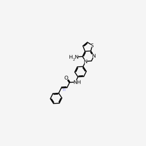 NC1=c2ccsc2=NCN1c1ccc(NC(=O)/C=C/c2ccccc2)cc1